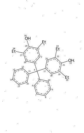 CCc1cc(C(c2ccccc2)(c2ccccc2)c2cc(CC)c(O)c(CC)c2)cc(CC)c1O